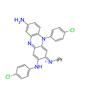 CC(C)/N=c1\cc2n(-c3ccc(Cl)cc3)c3ccc(N)cc3nc-2cc1Nc1ccc(Cl)cc1